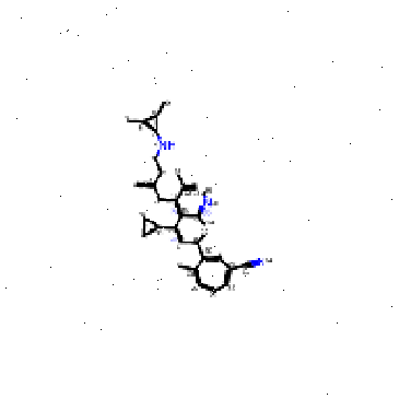 C=C(CCNC1C(C)C1C)C/C(C(=C)C)=C(C(=C/C(C)C1=CC(C#N)=CC=C=C1C)\C1CC1)/C(C)=N\C